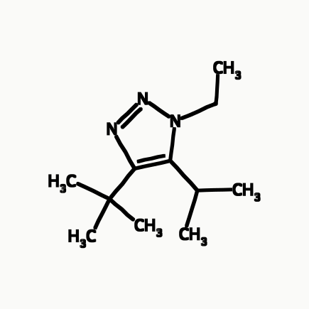 CCn1nnc(C(C)(C)C)c1C(C)C